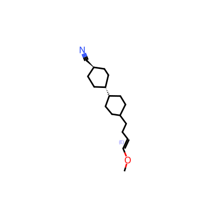 CO/C=C/CCC1CCC([C@H]2CC[C@H](C#N)CC2)CC1